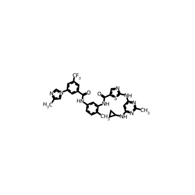 Cc1cn(-c2cc(C(=O)Nc3ccc(C)c(NC(=O)c4cnc(Nc5cc(NC6CC6)nc(C)n5)s4)c3)cc(C(F)(F)F)c2)cn1